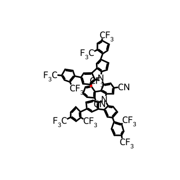 N#Cc1cc(-n2c3ccc(-c4ccc(C(F)(F)F)cc4C(F)(F)F)cc3c3cc(-c4ccc(C(F)(F)F)cc4C(F)(F)F)ccc32)c(-c2c(C#N)cccc2C(F)(F)F)c(-n2c3ccc(-c4ccc(C(F)(F)F)cc4C(F)(F)F)cc3c3cc(-c4ccc(C(F)(F)F)cc4C(F)(F)F)ccc32)c1